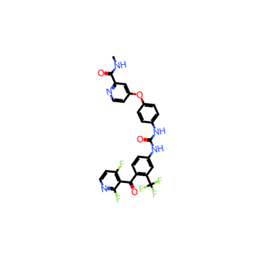 CNC(=O)c1cc(Oc2ccc(NC(=O)Nc3ccc(C(=O)c4c(F)ccnc4F)c(C(F)(F)F)c3)cc2)ccn1